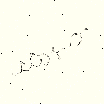 CN(C)CC1CNc2cc(NC(=O)CCc3ccc(C(C)(C)C)cc3)ccc2O1